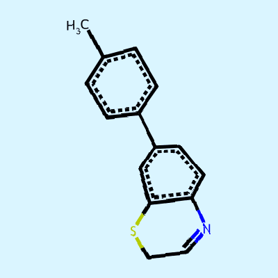 Cc1ccc(-c2ccc3c(c2)SCC=N3)cc1